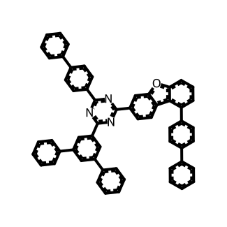 c1ccc(-c2ccc(-c3nc(-c4cc(-c5ccccc5)cc(-c5ccccc5)c4)nc(-c4ccc5c(c4)oc4cccc(-c6ccc(-c7ccccc7)cc6)c45)n3)cc2)cc1